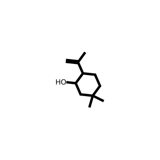 C=C(C)C1CCC(C)(C)CC1O